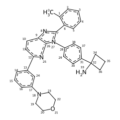 Cc1ccccc1-c1nc2ccc(-c3cccc(N4CCOCC4)c3)nc2n1-c1ccc(C2(N)CCC2)cc1